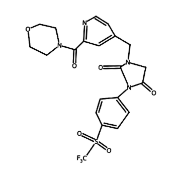 O=C(c1cc(CN2CC(=O)N(c3ccc(S(=O)(=O)C(F)(F)F)cc3)C2=O)ccn1)N1CCOCC1